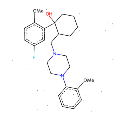 COc1ccccc1N1CCN(CC2CCCCC2(O)c2cc(F)ccc2OC)CC1